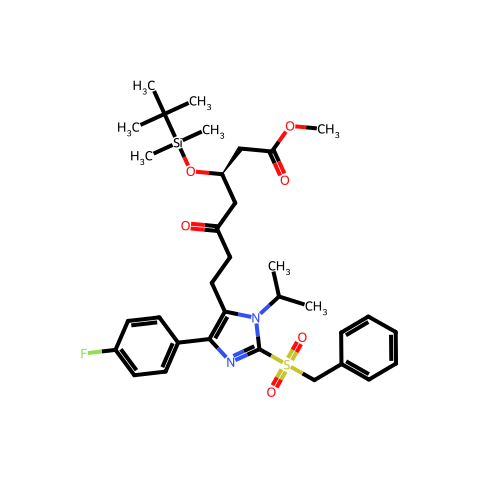 COC(=O)C[C@@H](CC(=O)CCc1c(-c2ccc(F)cc2)nc(S(=O)(=O)Cc2ccccc2)n1C(C)C)O[Si](C)(C)C(C)(C)C